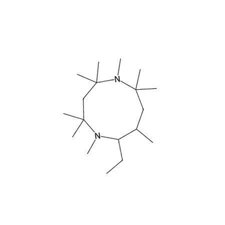 CCC1C(C)CC(C)(C)N(C)C(C)(C)CC(C)(C)N1C